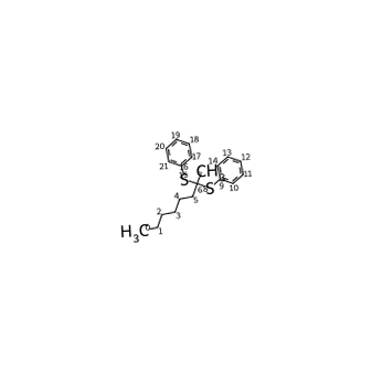 CCCCCCC(C)(Sc1ccccc1)Sc1ccccc1